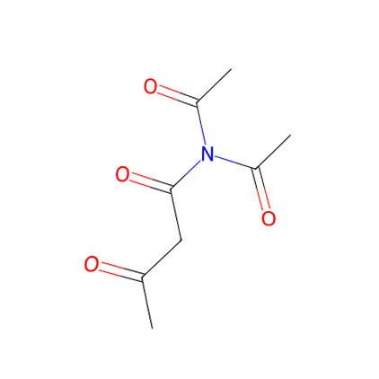 CC(=O)CC(=O)N(C(C)=O)C(C)=O